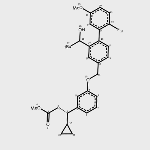 COC(=O)C[C@H](c1cccc(OCc2ccc(-c3cc(OC)ccc3F)c(C(O)C(C)(C)C)c2)c1)C1CC1